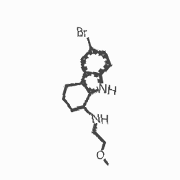 COCCNC1CCCc2c1[nH]c1ccc(Br)cc21